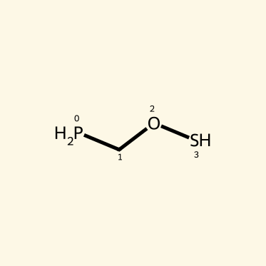 PCOS